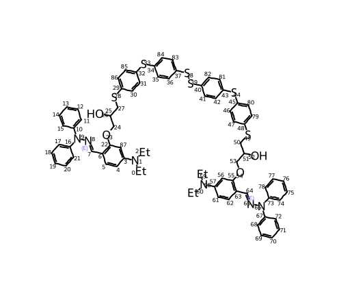 CCN(CC)c1ccc(/C=N/N(c2ccccc2)c2ccccc2)c(OCC(O)CSc2ccc(Sc3ccc(SSc4ccc(Sc5ccc(SCC(O)COc6cc(N(CC)CC)ccc6/C=N/N(c6ccccc6)c6ccccc6)cc5)cc4)cc3)cc2)c1